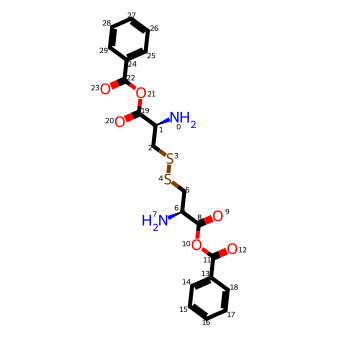 N[C@@H](CSSC[C@H](N)C(=O)OC(=O)c1ccccc1)C(=O)OC(=O)c1ccccc1